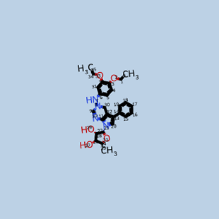 CCOc1ccc(NN2C=Nc3c(c(-c4ccccc4)cn3[C@@H]3O[C@H](C)[C@@H](O)[C@H]3O)C2)cc1OCC